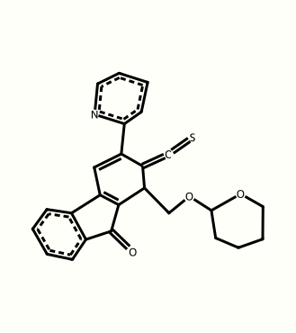 O=C1C2=C(C=C(c3ccccn3)C(=C=S)C2COC2CCCCO2)c2ccccc21